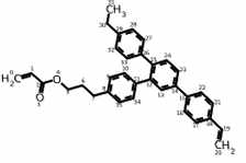 C=CC(=O)OCCCc1ccc(-c2cc(-c3ccc(C=C)cc3)ccc2-c2ccc(CC)cc2)cc1